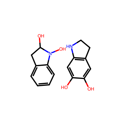 OC1Cc2ccccc2N1O.Oc1cc2c(cc1O)NCC2